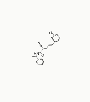 C[C@@H](NC(=O)/C(C#N)=C/C=C/c1cccc(Cl)n1)c1ccccc1